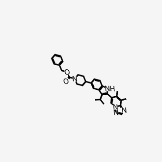 Cc1c(-c2[nH]c3ccc(C4CCN(C(=O)OCc5ccccc5)CC4)cc3c2C(C)C)cn2ncnc2c1C